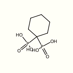 O=P(O)(O)C1(P(=O)(O)O)CCCCC1